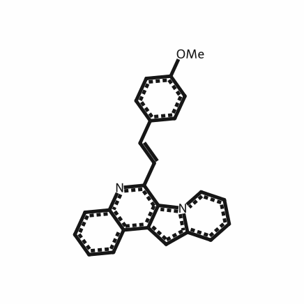 COc1ccc(C=Cc2nc3ccccc3c3cc4ccccn4c23)cc1